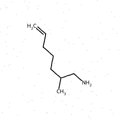 C=CCCCC(C)CN